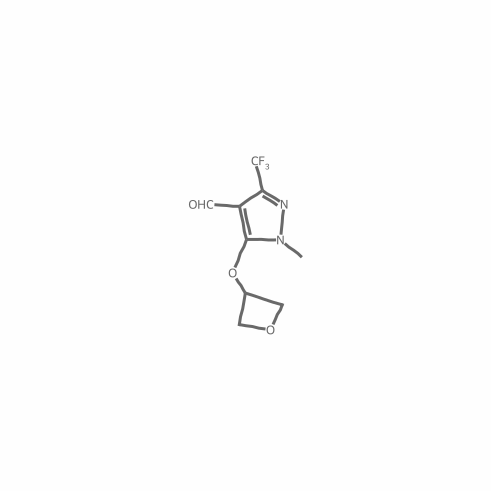 Cn1nc(C(F)(F)F)c(C=O)c1OC1COC1